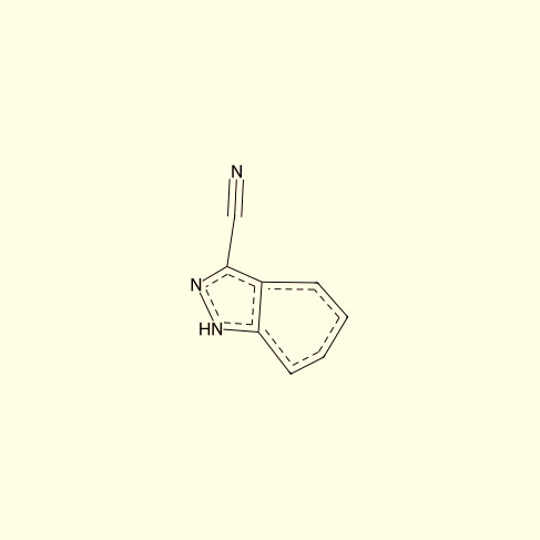 N#Cc1n[nH]c2ccccc12